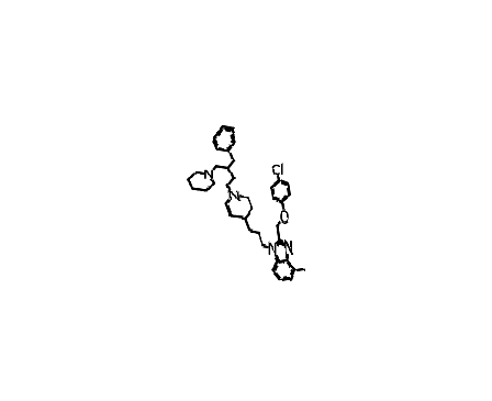 Cc1cccc2c1nc(COc1ccc(Cl)cc1)n2CCCC1CCN(CCC(Cc2ccccc2)CN2CCCCC2)CC1